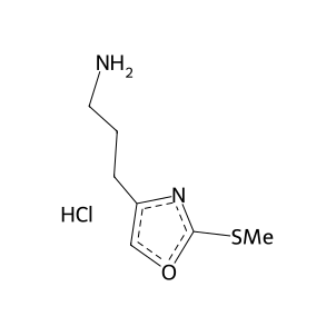 CSc1nc(CCCN)co1.Cl